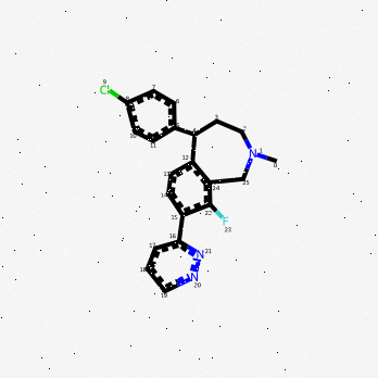 CN1CCC(c2ccc(Cl)cc2)c2ccc(-c3cccnn3)c(F)c2C1